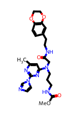 COC(=O)NCCCN(CC(=O)NCCc1ccc2c(c1)OCCO2)c1cc(C)nc(-n2ccnc2)n1